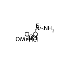 CCN(CCCN)Cc1cccc(Oc2ccccc2OC)c1.Cl.Cl